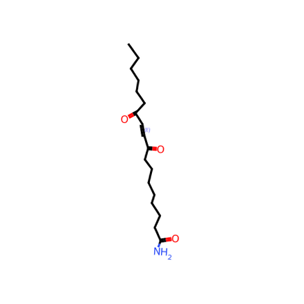 CCCCCCC(=O)/C=C/C(=O)CCCCCCCC(N)=O